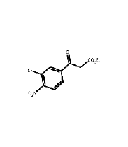 CCOC(=O)CC(=O)c1ccc([N+](=O)[O-])c(Cl)c1